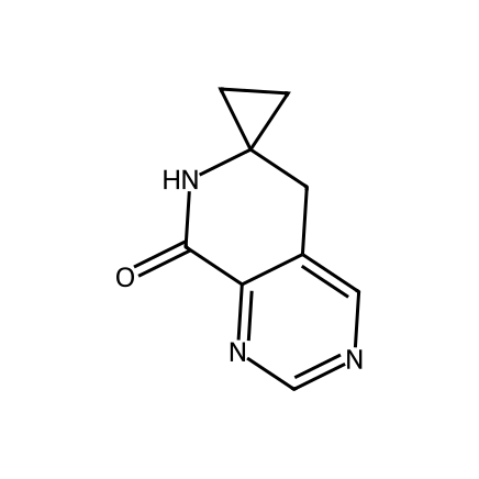 O=C1NC2(CC2)Cc2cncnc21